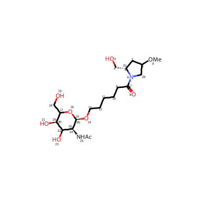 COC1C[C@@H](CO)N(C(=O)CCCCCO[C@@H]2OC(CO)[C@H](O)C(O)[C@@H]2NC(C)=O)C1